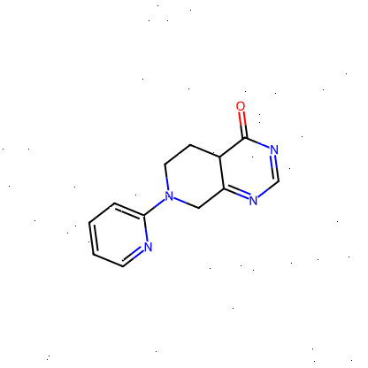 O=C1N=CN=C2CN(c3ccccn3)CCC12